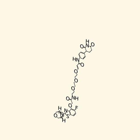 O=C(C=COCCOCCOCCNC(=O)COc1c(F)ccc2sc(N3[C@@H]4CC[C@H]3COC4)nc12)Nc1ccc(C2CCC(=O)NC2=O)cc1